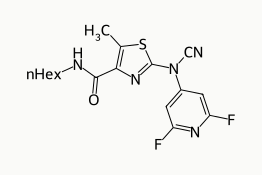 CCCCCCNC(=O)c1nc(N(C#N)c2cc(F)nc(F)c2)sc1C